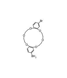 Bc1ccc2c(c1)OCCOCCOc1cc(Br)ccc1OCCOCCO2